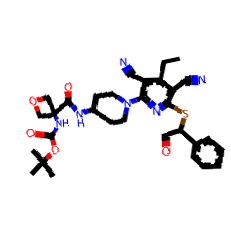 CCc1c(C#N)c(SC(C=O)c2ccccc2)nc(N2CCC(NC(=O)C3(NC(=O)OC(C)(C)C)COC3)CC2)c1C#N